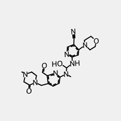 CN1CCN(Cc2ccc(N(C)C(O)Nc3cc(N4CCOCC4)c(C#N)cn3)nc2C=O)C(=O)C1